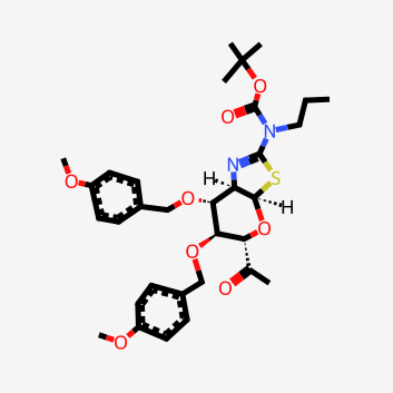 CCCN(C(=O)OC(C)(C)C)C1=N[C@@H]2[C@@H](OCc3ccc(OC)cc3)[C@H](OCc3ccc(OC)cc3)[C@@H](C(C)=O)O[C@@H]2S1